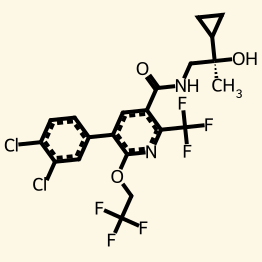 C[C@](O)(CNC(=O)c1cc(-c2ccc(Cl)c(Cl)c2)c(OCC(F)(F)F)nc1C(F)(F)F)C1CC1